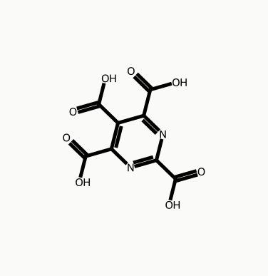 O=C(O)c1nc(C(=O)O)c(C(=O)O)c(C(=O)O)n1